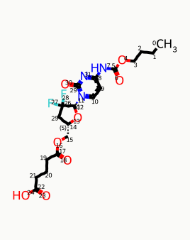 CCCCOC(=O)Nc1ccn([C@@H]2O[C@H](COC(=O)CCCC(=O)O)CC2(F)F)c(=O)n1